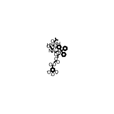 COc1cc(C(=O)OCC(=O)OCC2CN(C(c3ccccc3)(c3ccccc3)c3ccccc3)CC(n3cnc4c(=O)[nH]c(NC(=O)C(C)C)nc43)O2)cc(OC)c1OC